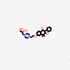 CC1(C)c2cc(OCCN3CCN(C[C@H](O)CO)CC3)ccc2C(=O)c2c1oc1ccccc21